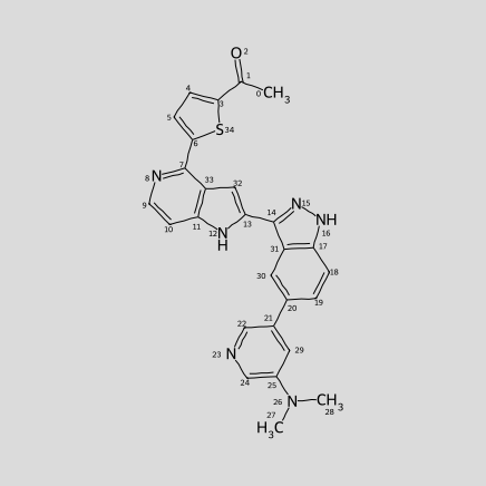 CC(=O)c1ccc(-c2nccc3[nH]c(-c4n[nH]c5ccc(-c6cncc(N(C)C)c6)cc45)cc23)s1